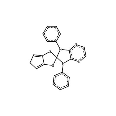 C1=C2SC3(SC2=CC1)N(c1ccccc1)c1nccnc1N3c1ccccc1